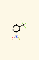 [O-][N+](=S)c1cccc(C(F)(F)F)c1